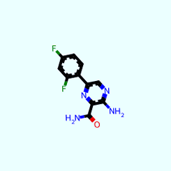 NC(=O)c1nc(-c2ccc(F)cc2F)cnc1N